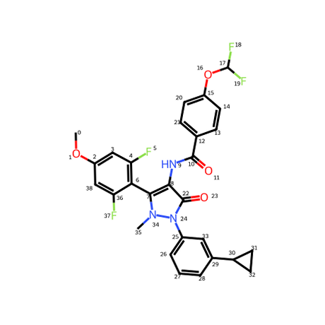 COc1cc(F)c(-c2c(NC(=O)c3ccc(OC(F)F)cc3)c(=O)n(-c3cccc(C4CC4)c3)n2C)c(F)c1